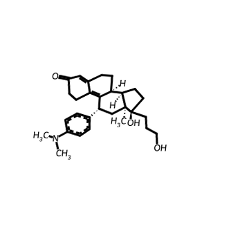 CN(C)c1ccc([C@H]2C[C@@]3(C)[C@H](CC[C@]3(O)CCCO)[C@@H]3CCC4=CC(=O)CCC4=C32)cc1